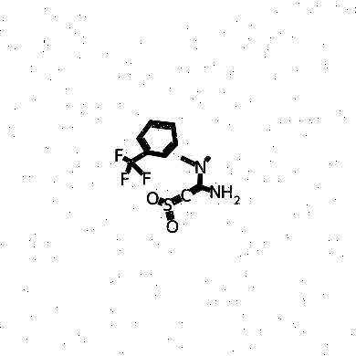 CN(C)C(N)=C=S(=O)=O.FC(F)(F)c1ccccc1